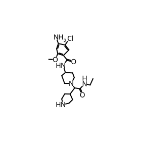 CCNC(=O)C(C1CCNCC1)N1CCC(NC(=O)c2cc(Cl)c(N)cc2OC)CC1